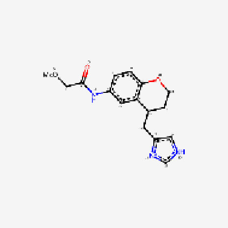 COCC(=O)Nc1ccc2c(c1)C(Cc1c[nH]cn1)CCO2